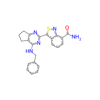 NC(=O)c1cccc2c(-c3nc4c(c(NCc5ccccc5)n3)CCC4)snc12